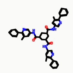 Cc1cc(NC(=O)C2CC(C(=O)Nc3cnc(-c4ccccc4)c(C)c3)CC(C(=O)Nc3cnc(-c4ccccc4)c(C)c3)C2)cnc1-c1ccccc1